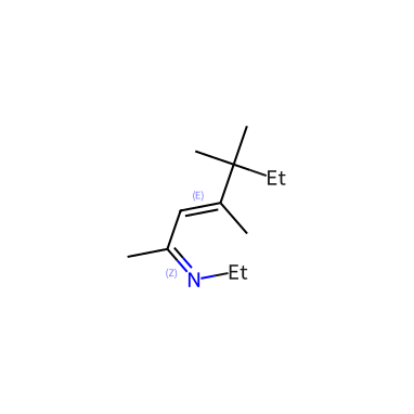 CC/N=C(C)\C=C(/C)C(C)(C)CC